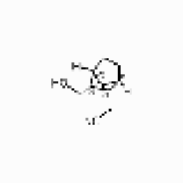 N#CC[C@@H]1[C@H](CO)[C@@H]2CC[C@H]1O2